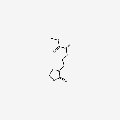 COC(=O)N(C)CCCN1CCCC1=O